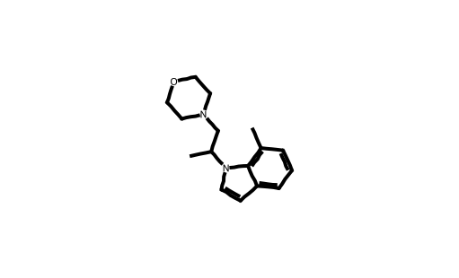 Cc1cccc2ccn(C(C)CN3CCOCC3)c12